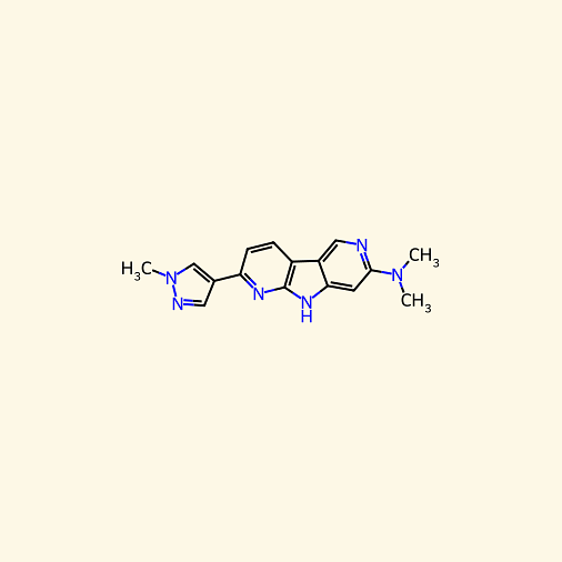 CN(C)c1cc2[nH]c3nc(-c4cnn(C)c4)ccc3c2cn1